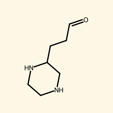 O=CCCC1CNCCN1